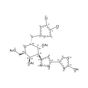 CC(=O)OC[C@H]1O[C@H](Sc2ccc(Cl)c(Cl)c2)[C@H](OC(C)=O)[C@@H](n2cc(-c3csc(O)n3)nn2)[C@H]1OC(C)=O